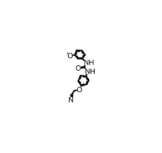 COc1cccc(NC(=O)Nc2ccc(OCC#N)cc2)c1